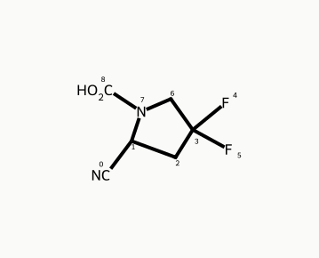 N#CC1CC(F)(F)CN1C(=O)O